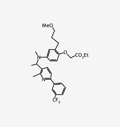 CCOC(=O)COc1ccc(N(C)C(C)c2ccc(-c3cccc(C(F)(F)F)c3)nc2C)cc1CCCOC